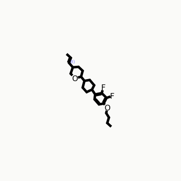 C/C=C/C1CCC(C2CCC(c3ccc(OCCCC)c(F)c3F)CC2)OC1